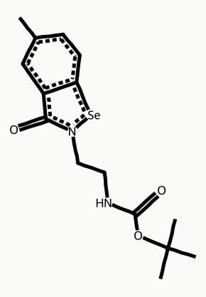 Cc1ccc2[se]n(CCNC(=O)OC(C)(C)C)c(=O)c2c1